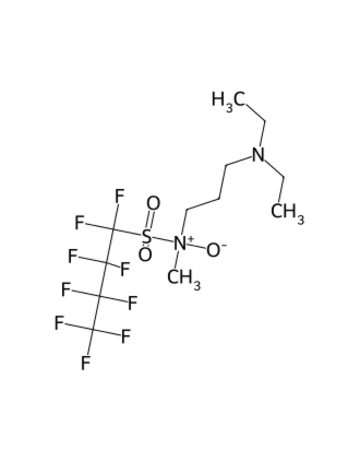 CCN(CC)CCC[N+](C)([O-])S(=O)(=O)C(F)(F)C(F)(F)C(F)(F)C(F)(F)F